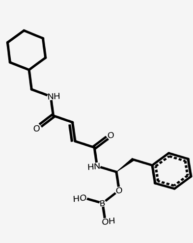 O=C(/C=C/C(=O)N[C@@H](Cc1ccccc1)OB(O)O)NCC1CCCCC1